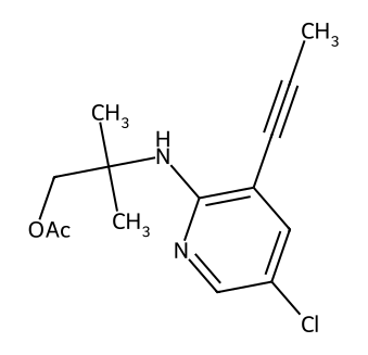 CC#Cc1cc(Cl)cnc1NC(C)(C)COC(C)=O